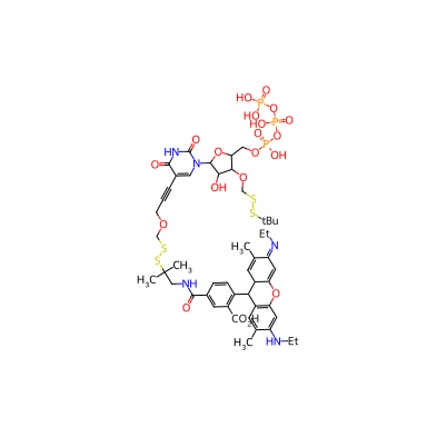 CC/N=C1/C=C2Oc3cc(NCC)c(C)cc3C(c3ccc(C(=O)NCC(C)(C)SSCOCC#Cc4cn(C5OC(COP(=O)(O)OP(=O)(O)OP(=O)(O)O)C(OCSSC(C)(C)C)C5O)c(=O)[nH]c4=O)cc3C(=O)O)C2C=C1C